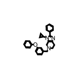 c1ccc(Oc2cccc(CN3CCc4nc(-c5ccccc5)n(C5CC5)c4C3)c2)cc1